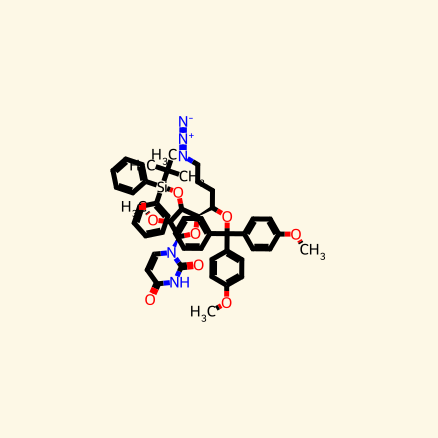 COc1ccc(C(OC(CCCN=[N+]=[N-])[C@H]2O[C@@H](n3ccc(=O)[nH]c3=O)C(OC)C2O[Si](c2ccccc2)(c2ccccc2)C(C)(C)C)(c2ccccc2)c2ccc(OC)cc2)cc1